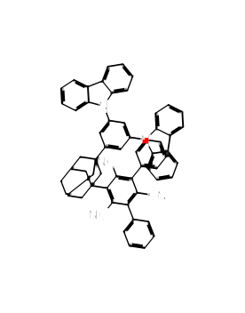 N#Cc1c(-c2ccccc2)c(C#N)c(C23CC4CC(CC(c5cc(-n6c7ccccc7c7ccccc76)cc(-n6c7ccccc7c7ccccc76)c5)(C4)C2)C3)c(C#N)c1-c1ccccc1